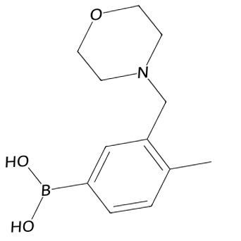 Cc1ccc(B(O)O)cc1CN1CCOCC1